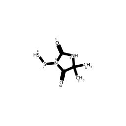 CC1(C)NC(=O)N(SS)C1=O